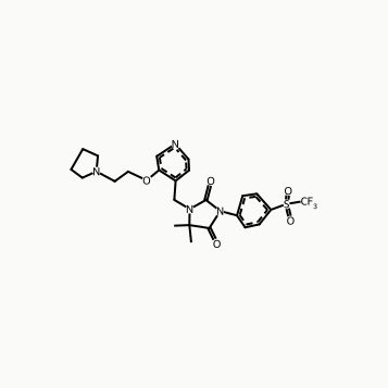 CC1(C)C(=O)N(c2ccc(S(=O)(=O)C(F)(F)F)cc2)C(=O)N1Cc1ccncc1OCCN1CCCC1